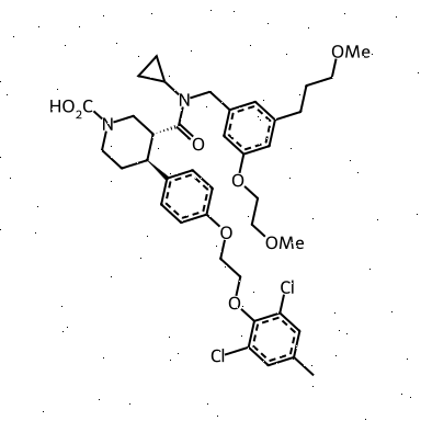 COCCCc1cc(CN(C(=O)[C@H]2CN(C(=O)O)CC[C@@H]2c2ccc(OCCOc3c(Cl)cc(C)cc3Cl)cc2)C2CC2)cc(OCCOC)c1